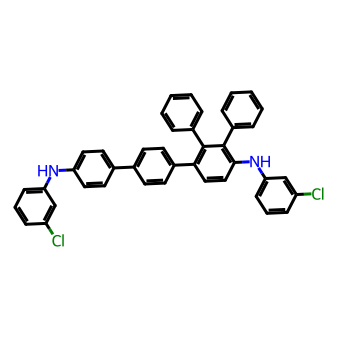 Clc1cccc(Nc2ccc(-c3ccc(-c4ccc(Nc5cccc(Cl)c5)c(-c5ccccc5)c4-c4ccccc4)cc3)cc2)c1